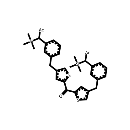 CC(=O)C(c1cccc(Cc2csc(C(=O)c3cc(Cc4cccc(C(C(C)=O)[Si](C)(C)C)c4)cs3)c2)c1)[Si](C)(C)C